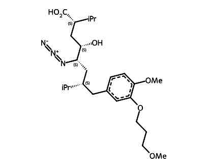 COCCCOc1cc(C[C@@H](C[C@H](N=[N+]=[N-])[C@@H](O)C[C@H](C(=O)O)C(C)C)C(C)C)ccc1OC